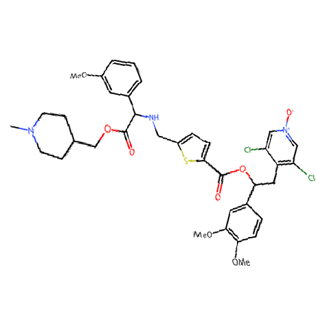 COc1cccc(C(NCc2ccc(C(=O)OC(Cc3c(Cl)c[n+]([O-])cc3Cl)c3ccc(OC)c(OC)c3)s2)C(=O)OCC2CCN(C)CC2)c1